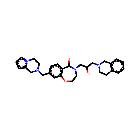 O=C1c2ccc(CN3CCn4cccc4C3)cc2OCCN1CC(O)CN1CCc2ccccc2C1